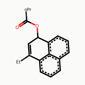 CCCC(=O)OC1C=C(CC)c2cccc3cccc1c23